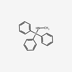 CN[Si](c1ccccc1)(c1ccccc1)c1ccccc1